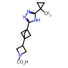 O=C(O)N1CC(C23CC(c4nnc(C5(C(F)(F)F)CC5)[nH]4)(C2)C3)C1